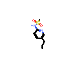 CCCc1ccc(NS(C)(=O)=O)nc1